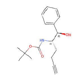 C#CCC[C@H](NC(=O)OC(C)(C)C)[C@H](O)c1ccccc1